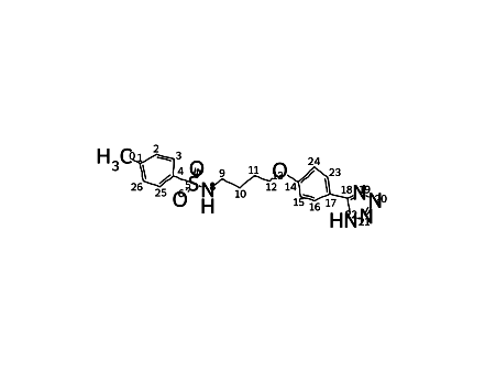 Cc1ccc(S(=O)(=O)NCCCCOc2ccc(-c3nnn[nH]3)cc2)cc1